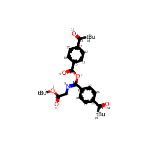 CC(C)(C)OC(=O)CN=C(OC(=O)c1ccc(C(=O)C(C)(C)C)cc1)c1ccc(C(=O)C(C)(C)C)cc1